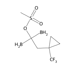 BC(B)(CC1(C(F)(F)F)CC1)OS(C)(=O)=O